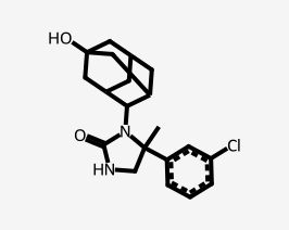 CC1(c2cccc(Cl)c2)CNC(=O)N1C1C2CC3CC1CC(O)(C3)C2